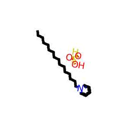 CCCCCCCCCCCCCCCC[n+]1ccccc1.O=[SH](=O)O